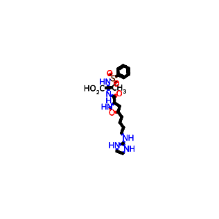 CC(NC(=O)C1CC(CCCCNC2NCCN2)ON1)(NS(=O)(=O)c1ccccc1)C(=O)O